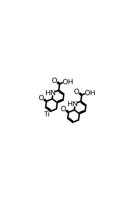 O=C(O)C1=CC=C2CC=CC(=O)C2N1.O=C(O)C1=CC=C2CC=CC(=O)C2N1.[Ti]